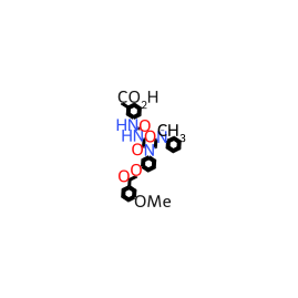 COc1cccc(C(=O)COc2cccc(N(CC(=O)N(C)c3ccccc3)C(=O)CNC(=O)Nc3cccc(CC(=O)O)c3)c2)c1